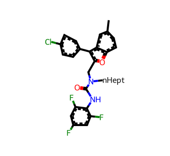 CCCCCCCN(Cc1oc2ccc(C)cc2c1-c1ccc(Cl)cc1)C(=O)Nc1c(F)cc(F)cc1F